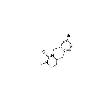 CN1CCC2Cc3ncc(Br)cc3CN2C1=O